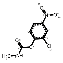 CNC(=O)Oc1ccc([N+](=O)[O-])cc1Cl